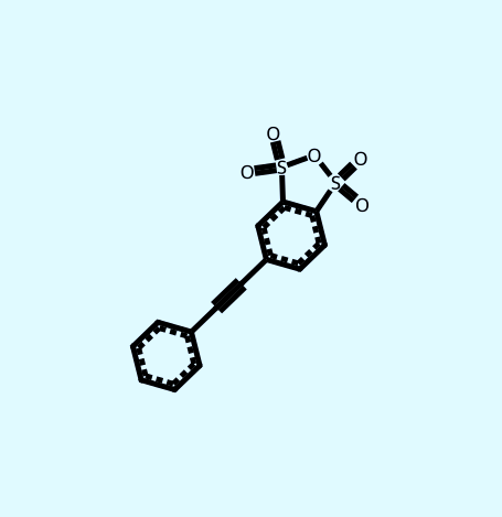 O=S1(=O)OS(=O)(=O)c2cc(C#Cc3ccccc3)ccc21